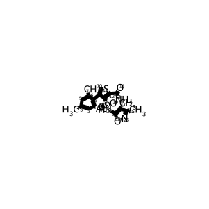 CC(=O)c1cc(C)cc(C)c1-c1csc(C(N)=O)c1S(=O)(=O)Nc1onc(C)c1C